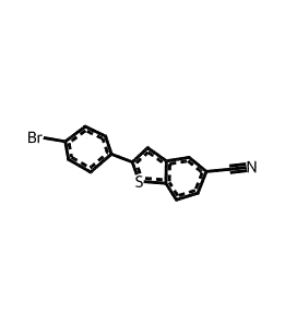 N#Cc1ccc2sc(-c3ccc(Br)cc3)cc2c1